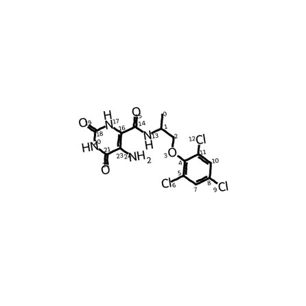 CC(COc1c(Cl)cc(Cl)cc1Cl)NC(=O)c1[nH]c(=O)[nH]c(=O)c1N